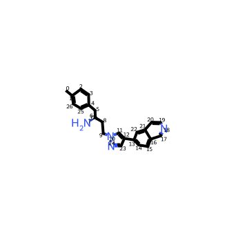 Cc1ccc(C[C@H](N)CCn2cc(-c3ccc4cnccc4c3)cn2)cc1